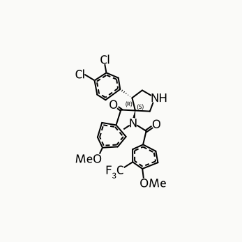 COc1ccc(C(=O)[C@@]2(N(C)C(=O)c3ccc(OC)c(C(F)(F)F)c3)CNC[C@H]2c2ccc(Cl)c(Cl)c2)cc1